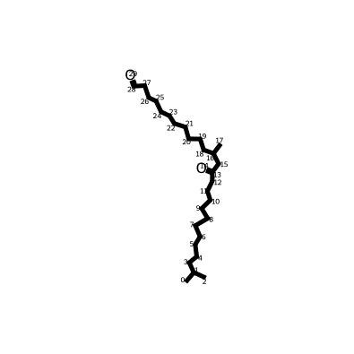 CC(C)CCCCCCCCCCC(=O)CC(C)CCCCCCCCCCC=O